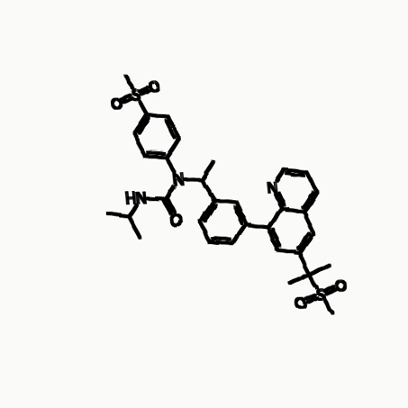 CC(C)NC(=O)N(c1ccc(S(C)(=O)=O)cc1)C(C)c1cccc(-c2cc(C(C)(C)S(C)(=O)=O)cc3cccnc23)c1